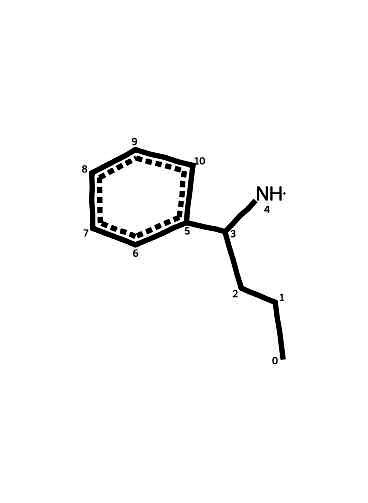 CCCC([NH])c1ccccc1